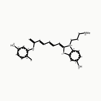 C=C(/C=C/C=C/C=C1\Sc2cc(O)ccc2N1CCCNC)Sc1cc(O)ccc1C